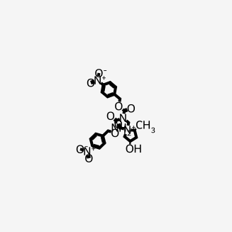 C[C@H]1C[C@@H](O)C[N+]1(CN(C(N)=O)C(=O)OCc1ccc([N+](=O)[O-])cc1)C(=O)OCc1ccc([N+](=O)[O-])cc1